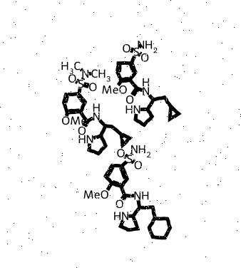 COc1ccc(S(=O)(=O)N(C)C)cc1C(=O)NC(CC1CC1)C1CCCN1.COc1ccc(S(N)(=O)=O)cc1C(=O)NC(CC1CC1)C1CCCN1.COc1ccc(S(N)(=O)=O)cc1C(=O)NC(CC1CCCCC1)C1CCCN1